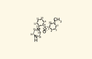 Cc1cccc([S+]([O-])c2ccccc2N2CCNCC2)c1